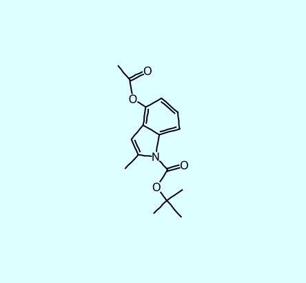 CC(=O)Oc1cccc2c1cc(C)n2C(=O)OC(C)(C)C